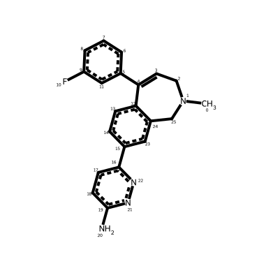 CN1CC=C(c2cccc(F)c2)c2ccc(-c3ccc(N)nn3)cc2C1